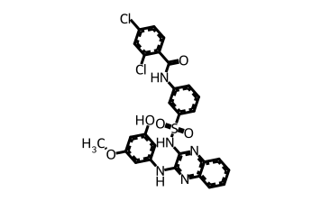 COc1cc(O)cc(Nc2nc3ccccc3nc2NS(=O)(=O)c2cccc(NC(=O)c3ccc(Cl)cc3Cl)c2)c1